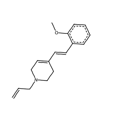 C=CCN1CC=C(C=Cc2ccccc2OC)CC1